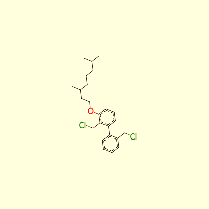 CC(C)CCCC(C)CCOc1cccc(-c2ccccc2CCl)c1CCl